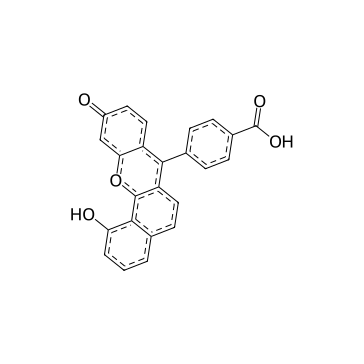 O=C(O)c1ccc(-c2c3ccc(=O)cc-3oc3c2ccc2cccc(O)c23)cc1